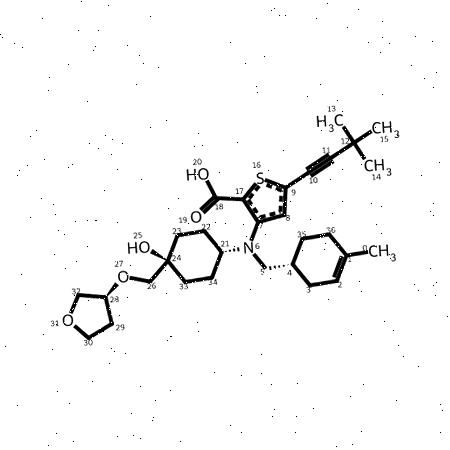 CC1=CC[C@H](CN(c2cc(C#CC(C)(C)C)sc2C(=O)O)[C@H]2CC[C@@](O)(CO[C@H]3CCOC3)CC2)CC1